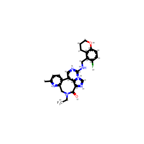 Cc1ccc2c(n1)CN(CC(F)(F)F)C(=O)c1ncn3c(NCc4c(F)ccc5c4CCCO5)ncc-2c13